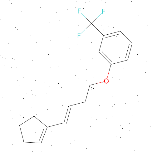 FC(F)(F)c1cccc(OCC/C=C/C2=CCCC2)c1